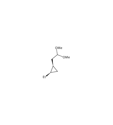 CC[C@@H]1C[C@@H]1CC(OC)OC